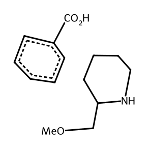 COCC1CCCCN1.O=C(O)c1ccccc1